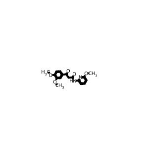 COc1cccc(NC(=O)CC(=O)c2ccc(OC)c(OC)c2)n1